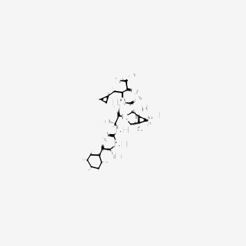 CC(C)[C@H](NC(=O)N[C@H](C(=O)N1C[C@H]2[C@@H]([C@H]1C(=O)NC(CC1CC1)C(=O)C(N)=O)C2(C)C)C(C)(C)C)C(=O)C1CCCCC1